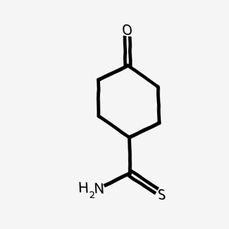 NC(=S)C1CCC(=O)CC1